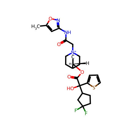 Cc1cc(NC(=O)C[N+]23CCC(CC2)[C@@H](OC(=O)C(O)(c2cccs2)C2CCC(F)(F)C2)C3)no1